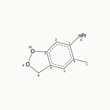 CCCc1cc2c(cc1C)COO2